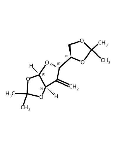 C=C1[C@H]2OC(C)(C)O[C@H]2O[C@@H]1[C@H]1COC(C)(C)O1